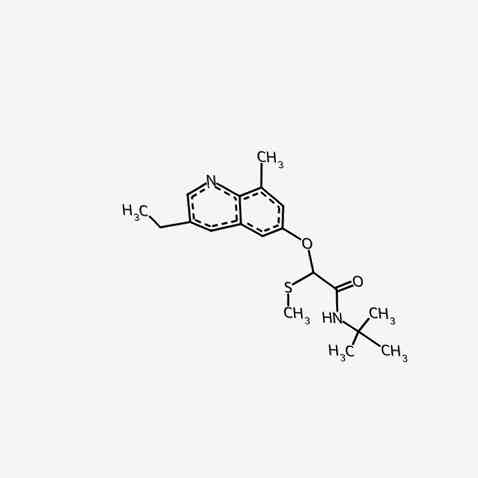 CCc1cnc2c(C)cc(OC(SC)C(=O)NC(C)(C)C)cc2c1